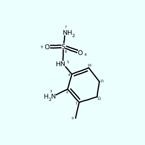 CC1=C(N)C(NS(N)(=O)=O)=CC[CH]1